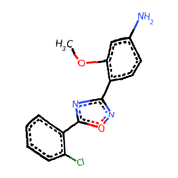 COc1cc(N)ccc1-c1noc(-c2ccccc2Cl)n1